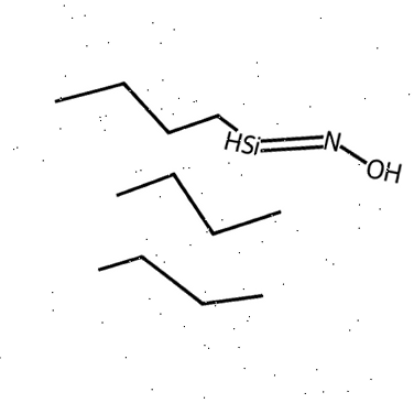 CCCC.CCCC.CCCC[SiH]=NO